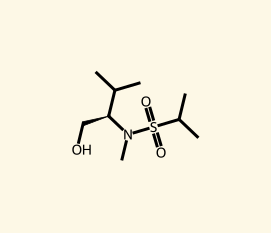 CC(C)[C@H](CO)N(C)S(=O)(=O)C(C)C